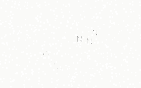 Cc1cn([C@H]2C[C@@H](S(C)(=O)=O)C2)nn1